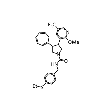 CCSc1ccc(CNC(=O)N2CC(C3=CC=CC=CC3)C(c3cc(C(F)(F)F)cnc3OC)C2)cc1